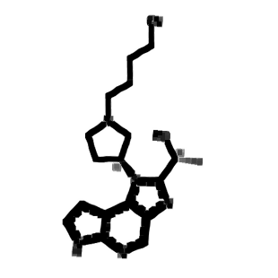 C[C@@H](O)c1nc2cnc3[nH]ccc3c2n1[C@H]1CCN(CCCCC#N)C1